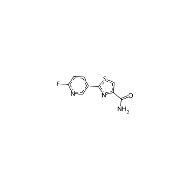 NC(=O)c1csc(-c2ccc(F)nc2)n1